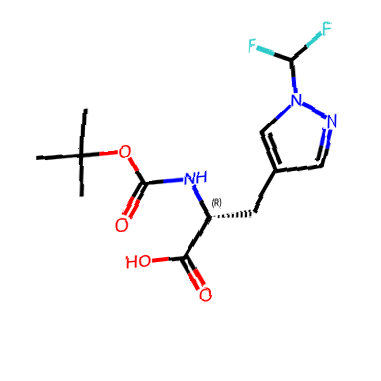 CC(C)(C)OC(=O)N[C@H](Cc1cnn(C(F)F)c1)C(=O)O